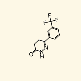 O=C1CCC(c2cccc(C(F)(F)F)c2)=NN1